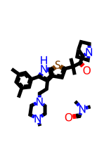 CN(C)C=O.Cc1cc(C)cc(-c2[nH]c3sc(C(C)(C)C(=O)C4C5CCN4CC5)cc3c2CCN2CCN(C)CC2)c1